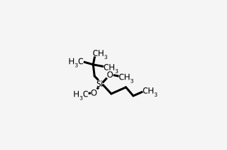 CCCC[Si](CC(C)(C)C)(OC)OC